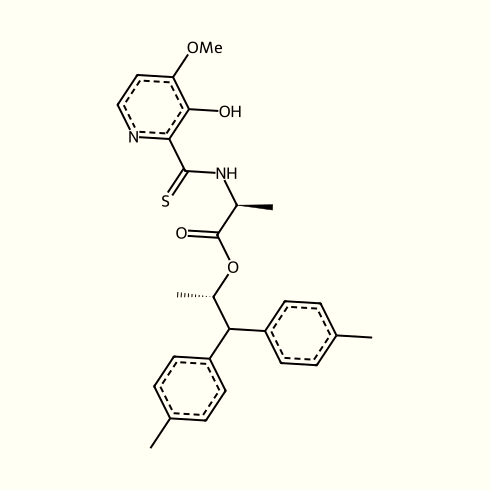 COc1ccnc(C(=S)N[C@@H](C)C(=O)O[C@@H](C)C(c2ccc(C)cc2)c2ccc(C)cc2)c1O